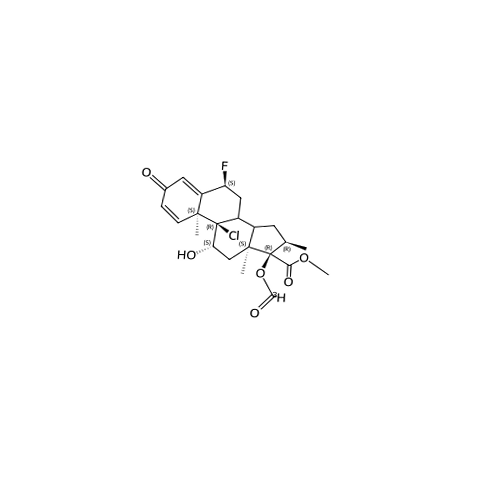 [3H]C(=O)O[C@]1(C(=O)OC)[C@H](C)CC2C3C[C@H](F)C4=CC(=O)C=C[C@]4(C)[C@@]3(Cl)[C@@H](O)C[C@@]21C